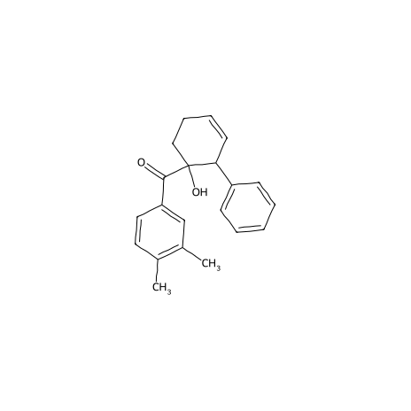 Cc1ccc(C(=O)C2(O)CCC=CC2c2ccccc2)cc1C